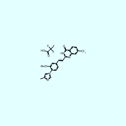 COc1cc(/C=C/c2nc3cc(C(F)(F)F)ccc3c(=O)[nH]2)ccc1-n1cnc(C)c1.O=C(O)C(F)(F)F